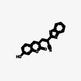 N#CC(=Cc1cc2ccc(O)cc2oc1=O)c1nc2ccccc2s1